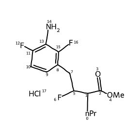 CCCC(C(=O)OC)C(F)Cc1ccc(F)c(N)c1F.Cl